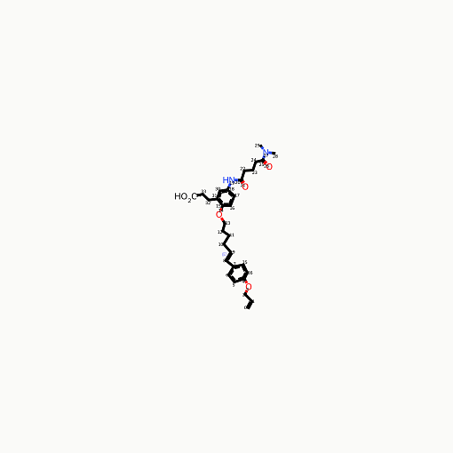 C=CCOc1ccc(/C=C/CCCCOc2ccc(NC(=O)CCCC(=O)N(C)C)cc2CCC(=O)O)cc1